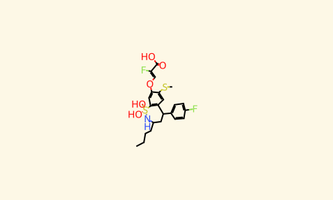 CCCCC1CC(c2ccc(F)cc2)c2cc(SC)c(O/C=C(\F)C(=O)O)cc2S(O)(O)N1